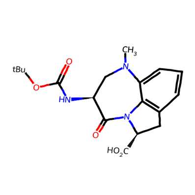 CN1C[C@H](NC(=O)OC(C)(C)C)C(=O)N2c3c(cccc31)C[C@H]2C(=O)O